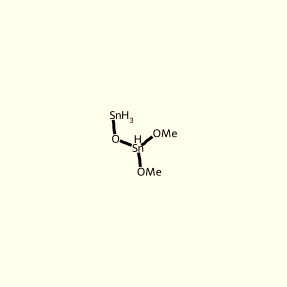 C[O][SnH]([O]C)[O][SnH3]